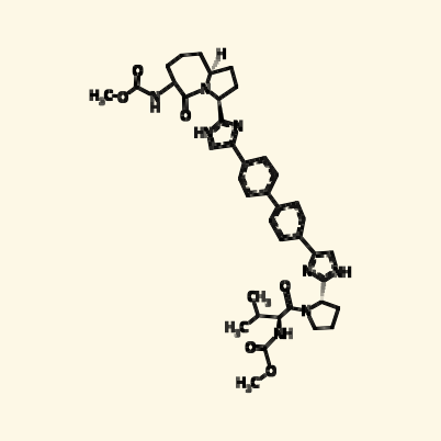 COC(=O)NC1CCC[C@H]2CC[C@@H](c3nc(-c4ccc(-c5ccc(-c6c[nH]c([C@@H]7CCCN7C(=O)[C@@H](NC(=O)OC)C(C)C)n6)cc5)cc4)c[nH]3)N2C1=O